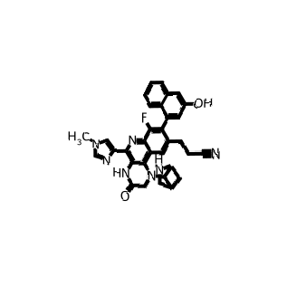 Cn1cnc(-c2nc3c(F)c(-c4cc(O)cc5ccccc45)c(CCC#N)cc3c3c2NC(=O)CN3C2C3CNC2C3)c1